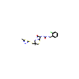 Cc1nnc(SCC2(C(=O)O)CS[C@@H]3C(NC(=O)NCc4ccccc4Cl)C(=O)N3C2)s1